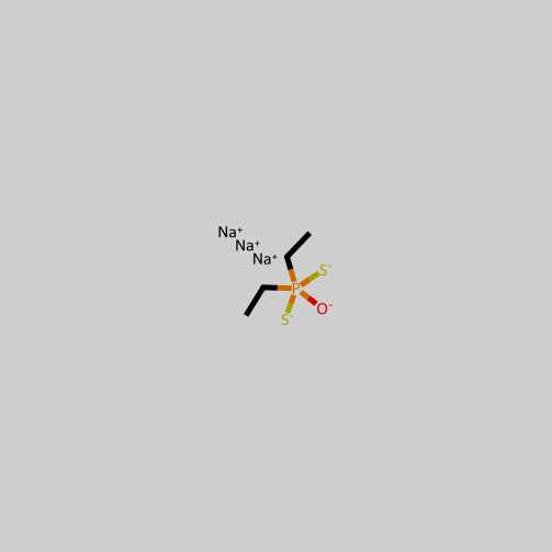 CCP([O-])([S-])([S-])CC.[Na+].[Na+].[Na+]